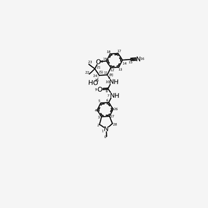 CN1Cc2ccc(NC(=O)N[C@@H]3c4cc(C#N)ccc4OC(C)(C)[C@H]3O)cc2C1